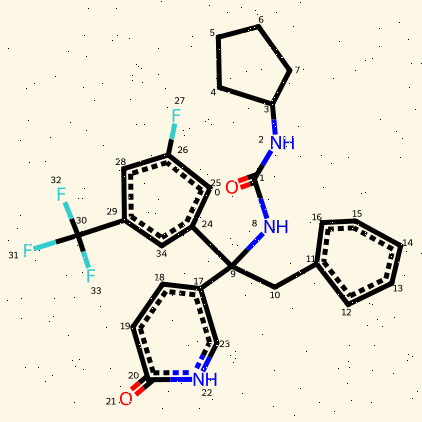 O=C(NC1CCCC1)NC(Cc1ccccc1)(c1ccc(=O)[nH]c1)c1cc(F)cc(C(F)(F)F)c1